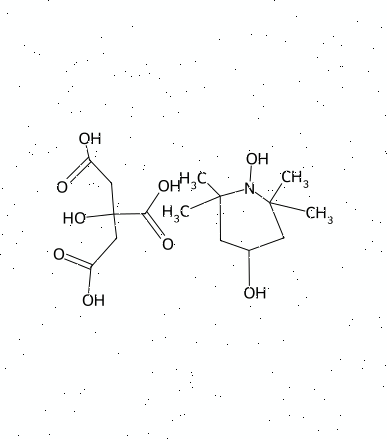 CC1(C)CC(O)CC(C)(C)N1O.O=C(O)CC(O)(CC(=O)O)C(=O)O